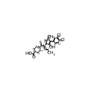 CC=NN(C(=S)N1CCC(C(=O)O)CC1)c1nn(C)c(-c2ccc(Cl)c(Cl)c2)c1O